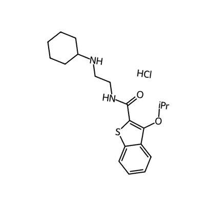 CC(C)Oc1c(C(=O)NCCNC2CCCCC2)sc2ccccc12.Cl